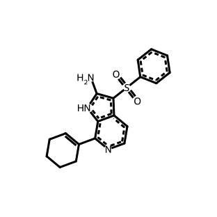 Nc1[nH]c2c(C3=CCCCC3)nccc2c1S(=O)(=O)c1ccccc1